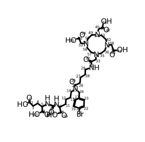 O=C(O)CCC(NC(=O)NC(CCCCN(Cc1ccc(Br)cc1)C(=O)CCCCNC(=O)CN1CCN(CC(=O)O)CCN(CC(=O)O)CCN(CC(=O)O)CC1)C(=O)O)C(=O)O